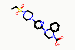 CCS(=O)(=O)N1CCN(c2ccc(N3CCN(C(=O)O)c4ccccc43)nc2)CC1